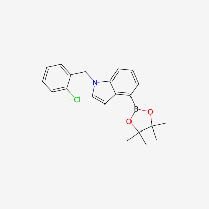 CC1(C)OB(c2cccc3c2ccn3Cc2ccccc2Cl)OC1(C)C